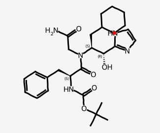 CC(C)(C)OC(=O)N[C@@H](Cc1ccccc1)C(=O)N(CC(N)=O)[C@@H](CC1CCCCC1)[C@@H](O)c1ncc[nH]1